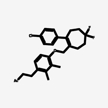 CC(=O)CCc1ccc(OCC2=C(c3ccc(Cl)cc3)CCC(F)(F)CC2)c(C)c1C